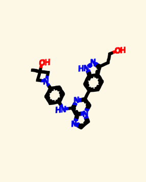 CC1(O)CN(c2ccc(Nc3nc(-c4ccc5c(CCO)n[nH]c5c4)cn4ccnc34)cc2)C1